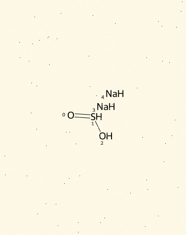 O=[SH]O.[NaH].[NaH]